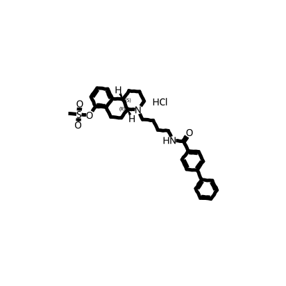 CS(=O)(=O)Oc1cccc2c1CC[C@@H]1[C@H]2CCCN1CCCCNC(=O)c1ccc(-c2ccccc2)cc1.Cl